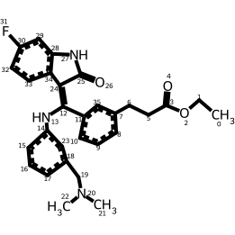 CCOC(=O)CCc1cccc(C(Nc2cccc(CN(C)C)c2)=C2C(=O)Nc3cc(F)ccc32)c1